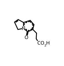 O=C(O)CCc1ccc2n(c1=O)CC=C2